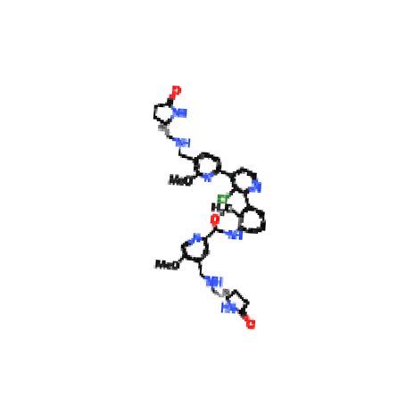 COc1cnc(C(=O)Nc2cccc(-c3nccc(-c4ccc(CNC[C@@H]5CCC(=O)N5)c(OC)n4)c3Cl)c2C)cc1CNC[C@@H]1CCC(=O)N1